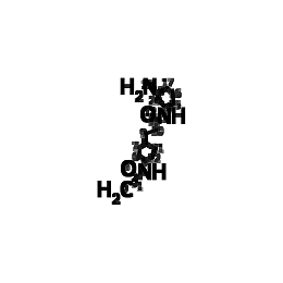 C=CC(=O)Nc1ccc(CCC(=O)Nc2cccc(N)c2)cc1